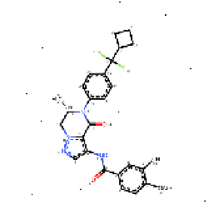 COc1ccc(C(=O)Nc2cnn3c2C(=O)N(c2ccc(C(F)(F)C4CCC4)cc2)[C@@H](C)C3)cc1C#N